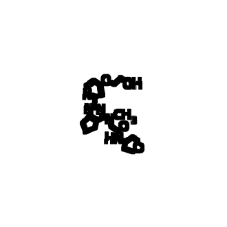 CN(CC(=O)NC1CCOCC1)c1nc(-c2cc(OCCO)ccn2)nc2c1CCC2